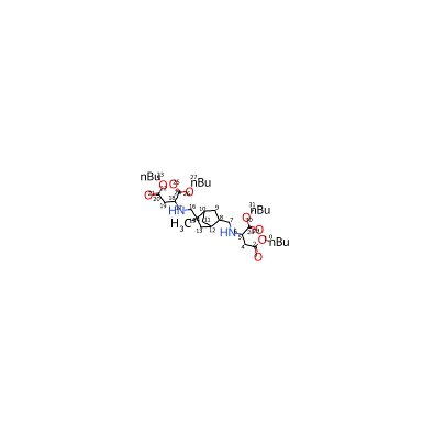 CCCCOC(=O)CC(NCC1CC2CC1CC2(C)CNC(CC(=O)OCCCC)C(=O)OCCCC)C(=O)OCCCC